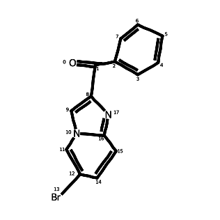 O=C(c1ccccc1)c1cn2cc(Br)ccc2n1